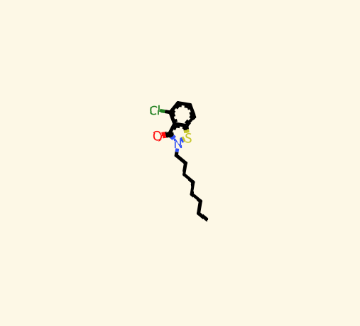 CCCCCCCCn1sc2cccc(Cl)c2c1=O